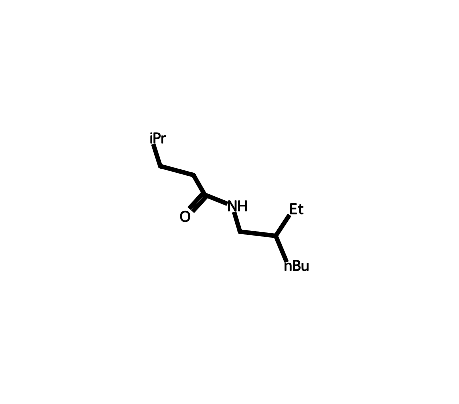 CCCCC(CC)CNC(=O)CCC(C)C